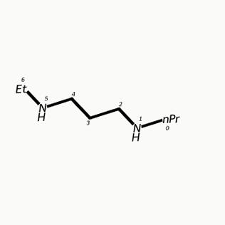 [CH2]CCNCCCNCC